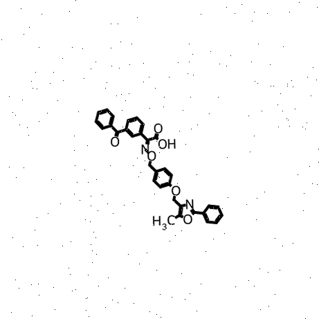 Cc1oc(-c2ccccc2)nc1COc1ccc(CON=C(C(=O)O)c2cccc(C(=O)c3ccccc3)c2)cc1